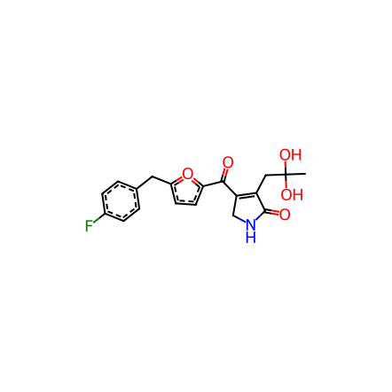 CC(O)(O)CC1=C(C(=O)c2ccc(Cc3ccc(F)cc3)o2)CNC1=O